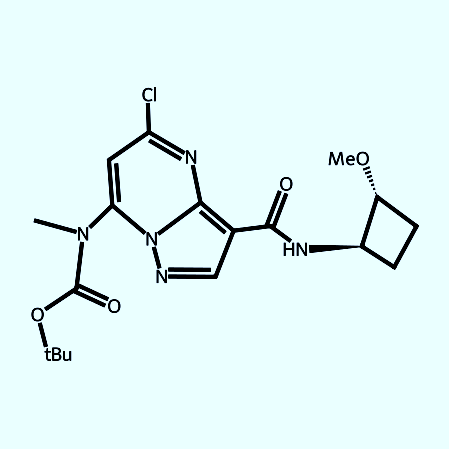 CO[C@@H]1CC[C@H]1NC(=O)c1cnn2c(N(C)C(=O)OC(C)(C)C)cc(Cl)nc12